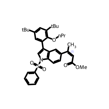 CCCOc1c(-c2cn(S(=O)(=O)c3ccccc3)c3ccc(/C(C)=C\C(=O)OC)cc23)cc(C(C)(C)C)cc1C(C)(C)C